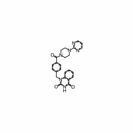 O=C(c1ccc(Cn2c(=O)[nH]c(=O)c3ccccc32)cc1)N1CCN(c2ncccn2)CC1